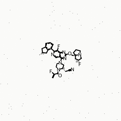 C=C(F)C(=O)N1CCN(c2nc(OC[C@@]34CCCN3C[C@H](F)C4)nc3c(F)c(-c4cccc5c4C[C@H](C)C5)ncc23)C[C@@H]1CC#N